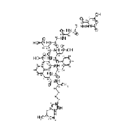 CC(C)CC1=CN(CCCCC(C)NC(=O)C(Cc2ccccc2)NC(=O)C(Cc2ccccc2)NC(=O)C(CC(=O)O)NC(=O)C(CC(=O)O)NC(=O)C(CC(=O)O)NC(=O)CNC(=O)CNC(=O)CNC(=O)C(CC(=O)O)NC=O)NN1